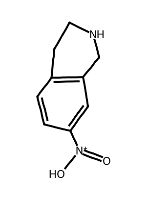 O=[N+](O)c1ccc2c(c1)CNCC2